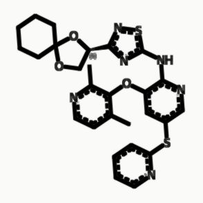 Cc1ccnc(C)c1Oc1cc(Sc2ccccn2)cnc1Nc1nc([C@H]2COC3(CCCCC3)O2)ns1